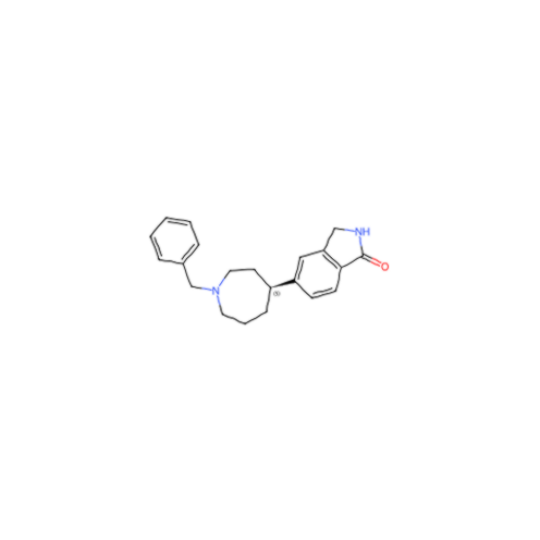 O=C1NCc2cc([C@H]3CCCN(Cc4ccccc4)CC3)ccc21